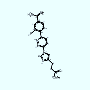 COC(=O)CCc1cn(-c2ccc(-c3ccc(C(=N)N)cc3F)nn2)cn1